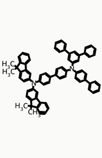 CC1(C)c2c#cccc2-c2cc(N(c3ccc(-c4ccc(N(c5ccc(-c6ccccc6)cc5)c5cc(-c6ccccc6)cc(-c6ccccc6)c5)cc4)cc3)c3ccc4c(c3)-c3ccccc3C4(C)C)ccc21